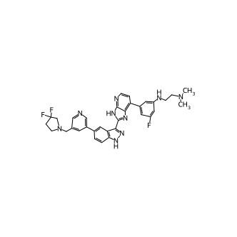 CN(C)CCNc1cc(F)cc(-c2ccnc3[nH]c(-c4n[nH]c5ccc(-c6cncc(CN7CCC(F)(F)C7)c6)cc45)nc23)c1